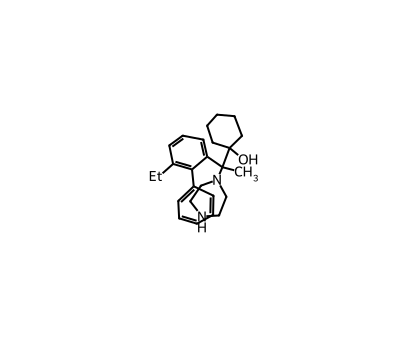 CCc1cccc(C(C)(N2CCNCC2)C2(O)CCCCC2)c1-c1ccccc1